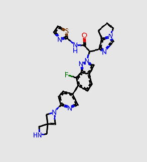 O=C(Nc1nccs1)C(c1ncn2c1CCC2)n1cc2ccc(-c3ccc(N4CC5(CNC5)C4)nc3)c(F)c2n1